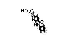 O=C(O)COc1ccc(C(=O)Nc2ccc(F)cc2)cn1